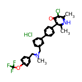 Cc1[nH]c(C)c(-c2ccc(-c3cccc(CN(C)Cc4ccc(OC(F)(F)F)cc4)c3)cc2)c(=O)c1Cl.Cl